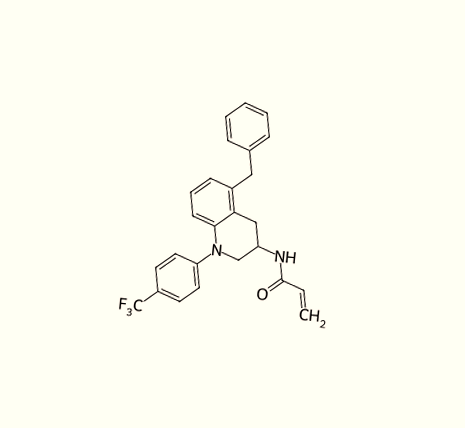 C=CC(=O)NC1Cc2c(Cc3ccccc3)cccc2N(c2ccc(C(F)(F)F)cc2)C1